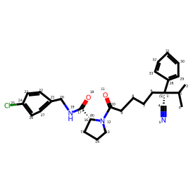 CC(C)[C@@](C#N)(CCCCC(=O)N1CCC[C@@H]1C(=O)NCc1ccc(Cl)cc1)c1ccccc1